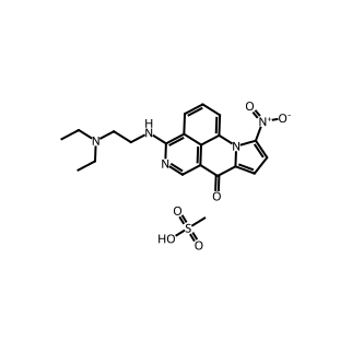 CCN(CC)CCNc1ncc2c(=O)c3ccc([N+](=O)[O-])n3c3cccc1c23.CS(=O)(=O)O